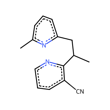 Cc1cccc(CC(C)c2ncccc2C#N)n1